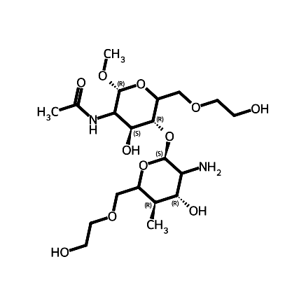 CO[C@@H]1OC(COCCO)[C@H](O[C@@H]2OC(COCCO)[C@H](C)[C@@H](O)C2N)[C@@H](O)C1NC(C)=O